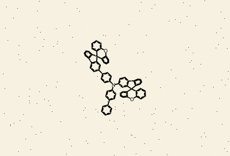 c1ccc(-c2ccc(N(c3ccc(-c4ccc5c(c4)C4(c6ccccc6Oc6ccccc64)c4ccccc4-5)cc3)c3ccc4c(c3)C3(c5ccccc5Oc5ccccc53)c3ccccc3-4)cc2)cc1